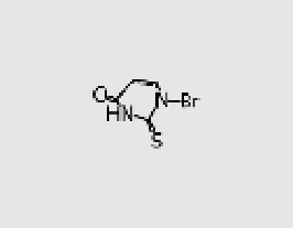 O=c1ccn(Br)c(=S)[nH]1